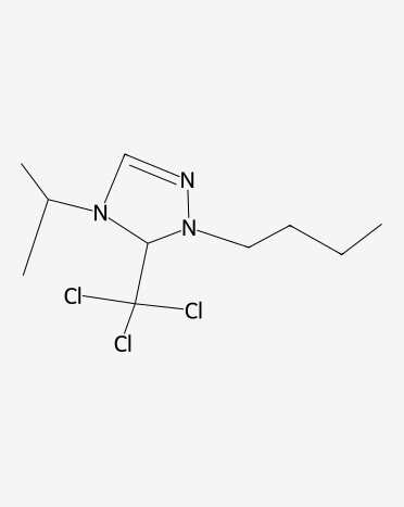 CCCCN1N=CN(C(C)C)C1C(Cl)(Cl)Cl